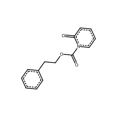 O=C(OCCc1ccccc1)n1ccccc1=O